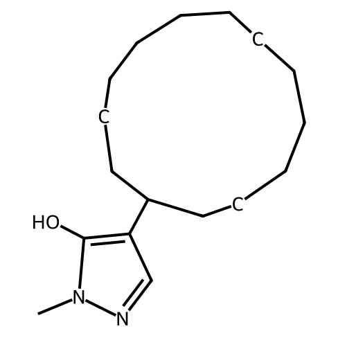 Cn1ncc(C2CCCCCCCCCCCC2)c1O